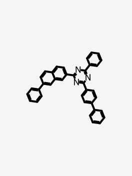 c1ccc(-c2ccc(-c3nc(-c4ccccc4)nc(-c4ccc5ccc(-c6ccccc6)cc5c4)n3)cc2)cc1